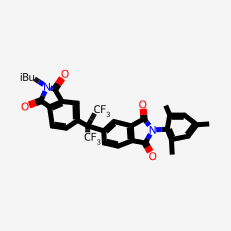 CCC(C)N1C(=O)c2ccc(C(c3ccc4c(c3)C(=O)N(c3c(C)cc(C)cc3C)C4=O)(C(F)(F)F)C(F)(F)F)cc2C1=O